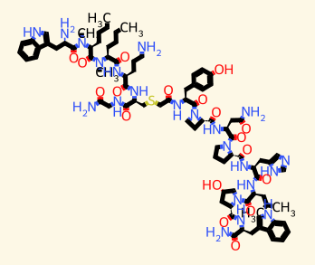 CCCC[C@@H](C(=O)N(C)[C@@H](CCCC)C(=O)N[C@@H](CCCN)C(=O)N[C@@H](CSCC(=O)N[C@@H](Cc1ccc(O)cc1)C(=O)N1CC[C@H]1C(=O)N[C@@H](CC(N)=O)C(=O)N1CCC[C@H]1C(=O)N[C@@H](Cc1cnc[nH]1)C(=O)N[C@@H](CC(C)C)C(=O)N1C[C@H](O)C[C@H]1C(=O)N[C@@H](Cc1c[nH]c2ccccc12)C(N)=O)C(=O)NCC(N)=O)N(C)C(=O)[C@@H](N)Cc1c[nH]c2ccccc12